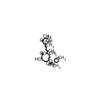 CCC(O)C(C)C1OC1CC(C)(O)/C=C/C=C(\C)C1OC(=O)CC(O)CCC(C)C(OC(=O)N(C)C2CCN(C)CC2)/C=C/C1C